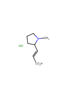 CN1CCCC1/C=C/C(=O)O.Cl